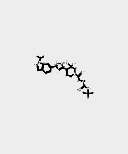 CC(C)n1ncc2ccc(-c3noc(C4CCN(C(=O)CNC(=O)OC(C)(C)C)CC4(F)F)n3)cc21